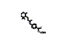 CCCCCCCCOC(=O)c1ccc(/C=C(\C)C=CC2=C(C)CCCC2(C)C)cn1